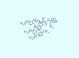 COc1ccc(CN(Cc2ccc(OC)cc2OC)c2nc(-c3cnccc3C)cc3cc(NC(=O)C4CC4C(C)(C)O)ncc23)c(OC)c1